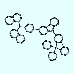 c1ccc(C2(c3ccccc3)c3ccccc3-c3ccc(-n4c5ccccc5c5cc(-c6ccc(N(c7cccc8ccccc78)c7cccc8ccccc78)cc6)ccc54)cc32)cc1